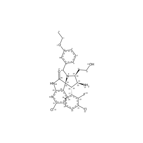 CCOc1cccc(CN2[C@@H](CCO)[C@@H](N)[C@H](c3cccc(Cl)c3F)[C@]23C(=O)Nc2nc(Cl)ccc23)c1